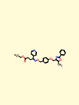 CCOC(=O)CC/C(=N/OCc1ccc(OCc2nc(-c3ccccc3)oc2C)cc1)c1ccncc1